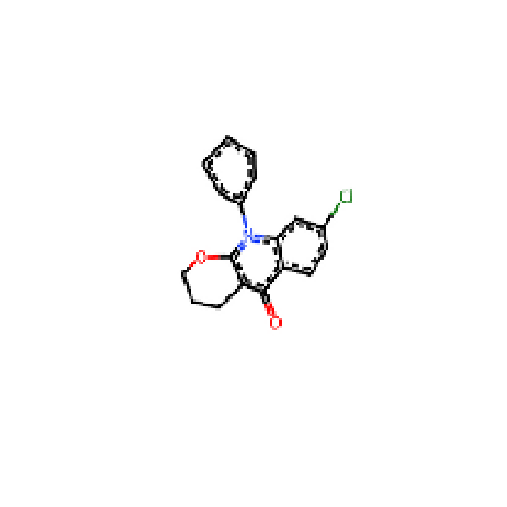 O=c1c2c(n(-c3ccccc3)c3cc(Cl)ccc13)OCCC2